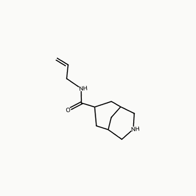 C=CCNC(=O)C1CC2CNCC(C2)C1